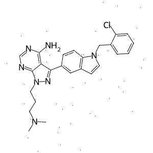 CN(C)CCCn1nc(-c2ccc3c(ccn3Cc3ccccc3Cl)c2)c2c(N)ncnc21